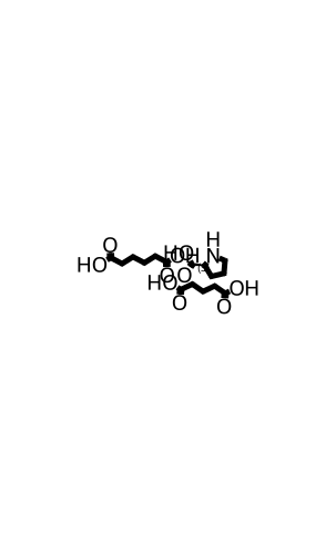 O=C(O)CCCC(=O)O.O=C(O)CCCCC(=O)O.O=C(O)[C@@H]1CCCN1